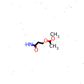 COC(C)OCCC([NH])=O